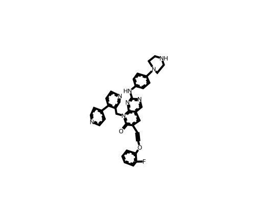 O=c1c(C#COc2ccccc2F)cc2cnc(Nc3ccc(N4CCNCC4)cc3)nc2n1Cc1cnccc1-c1ccncc1